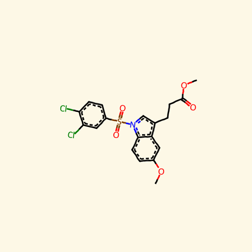 COC(=O)CCc1cn(S(=O)(=O)c2ccc(Cl)c(Cl)c2)c2ccc(OC)cc12